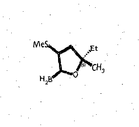 BC1O[C@@](C)(CC)CC1SC